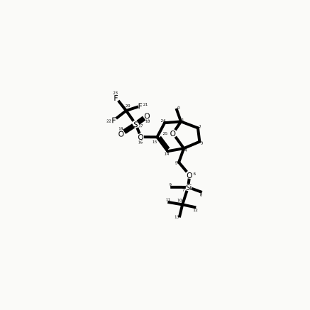 CC12CCC(CO[Si](C)(C)C(C)(C)C)(C=C(OS(=O)(=O)C(F)(F)F)C1)O2